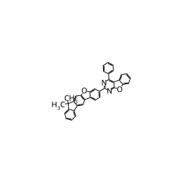 CC1(C)c2ccccc2-c2cc3c(cc21)oc1cc(-c2nc(-c4ccccc4)c4c(n2)oc2ccccc24)ccc13